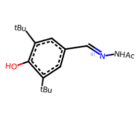 CC(=O)N/N=C/c1cc(C(C)(C)C)c(O)c(C(C)(C)C)c1